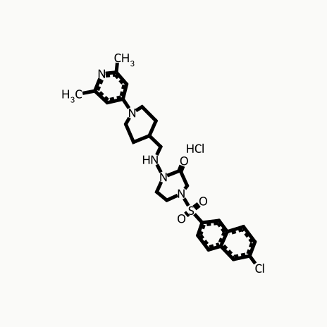 Cc1cc(N2CCC(CNN3CCN(S(=O)(=O)c4ccc5cc(Cl)ccc5c4)CC3=O)CC2)cc(C)n1.Cl